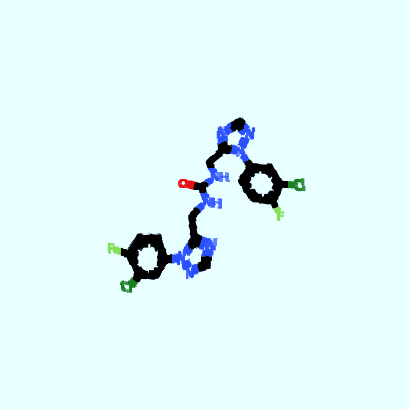 O=C(NCc1ncnn1-c1ccc(F)c(Cl)c1)NCc1ncnn1-c1ccc(F)c(Cl)c1